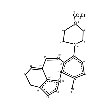 CCOC(=O)N1CCN(c2ccc(Br)c3c2N=CC2=CCCc4ccn-3c42)CC1